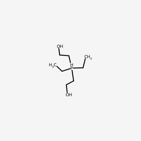 CC[PH](CC)(CCO)CCO